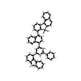 CC1(C)c2ccc3ccccc3c2-c2cccc(-c3ccc(-c4cc(-c5cccc6sc7ccccc7c56)nc(-c5ccccc5)n4)c4ccccc34)c21